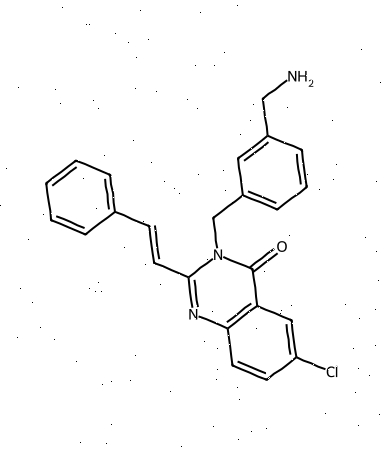 NCc1cccc(Cn2c(C=Cc3ccccc3)nc3ccc(Cl)cc3c2=O)c1